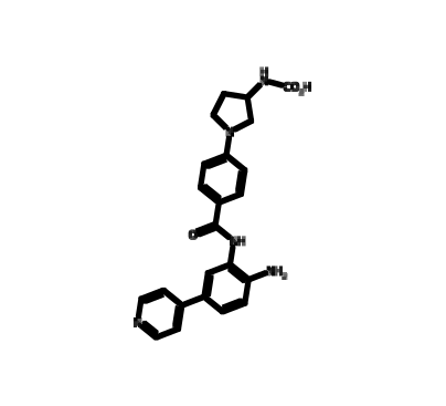 Nc1ccc(-c2ccncc2)cc1NC(=O)c1ccc(N2CCC(NC(=O)O)C2)cc1